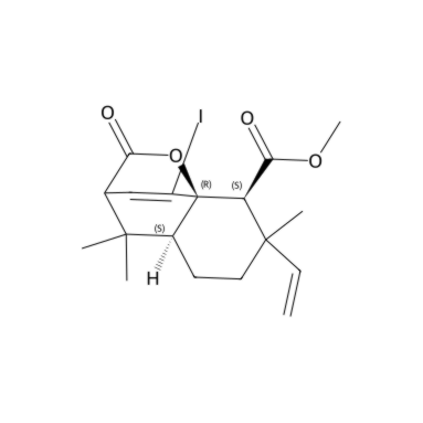 C=CC1(C)CC[C@H]2C(C)(C)C3C=C(I)[C@]2(OC3=O)[C@H]1C(=O)OC